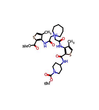 COC(=O)c1scc(C)c1NC(=O)C[N+]1(CC(=O)Nc2c(C)csc2C(=O)NC2CCN(C(=O)OC(C)(C)C)CC2)CCCCCC1